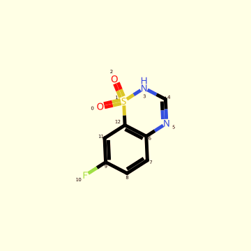 O=S1(=O)N[C]=Nc2ccc(F)cc21